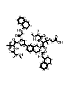 CN[C@@H](C)C(=O)NC(C(=O)N1CC(c2ccc3c(c2)CN(C(=O)C(NC(=O)[C@H](C)NC)C(C)(C)SCC(=O)O)[C@H](C(=O)NC2CCCc4ccccc42)C3)C[C@H]1C(=O)CNC1CCCc2ccccc21)C(C)(C)C